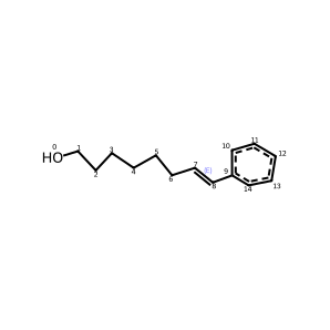 OCCCCCC/C=C/c1ccccc1